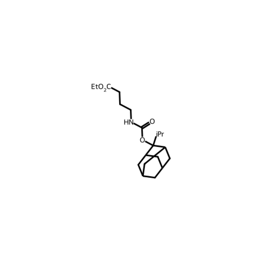 CCOC(=O)CCCNC(=O)OC1(C(C)C)C2CC3CC(C2)CC1C3